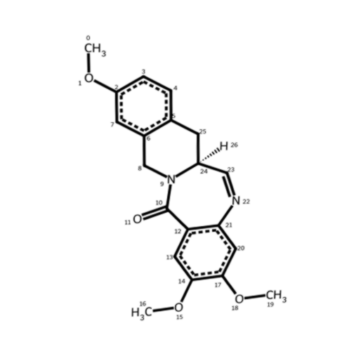 COc1ccc2c(c1)CN1C(=O)c3cc(OC)c(OC)cc3N=C[C@@H]1C2